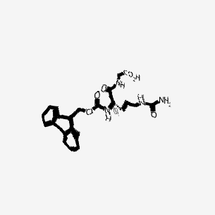 NC(=O)NCCC[C@H](NC(=O)OCC1c2ccccc2-c2ccccc21)C(=O)NCC(=O)O